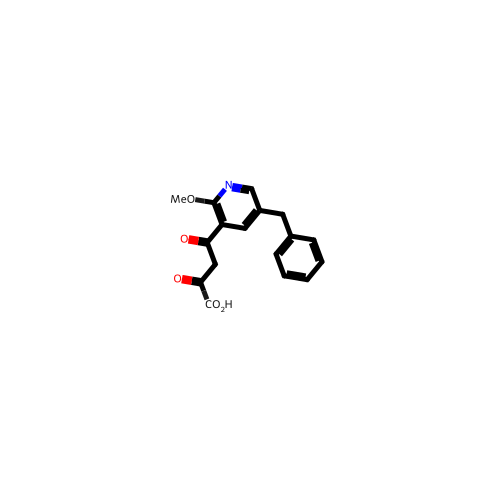 COc1ncc(Cc2ccccc2)cc1C(=O)CC(=O)C(=O)O